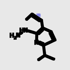 C/C=C\c1ccc(C(C)C)nc1NN